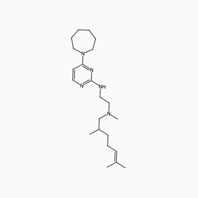 CC(C)=CCCC(C)CN(C)CCNc1nccc(N2CCCCCC2)n1